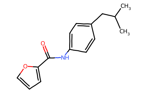 CC(C)Cc1ccc(NC(=O)c2ccco2)cc1